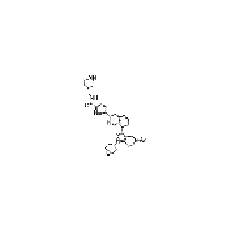 CC(=O)N1CCc2c(c(-c3cccc4cc(-c5ccc(C(=O)NCC6CCNCC6)nc5)ncc34)nn2C2CCOCC2)C1